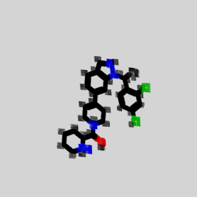 CCC(c1ccc(Cl)cc1Cl)n1ncc2ccc(C3=CCN(C(=O)C4CCCCN4)CC3)cc21